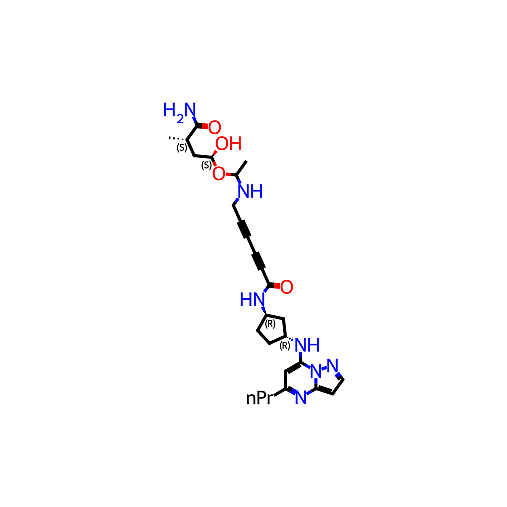 CCCc1cc(N[C@@H]2CC[C@@H](NC(=O)C#CC#CCNC(C)O[C@H](O)C[C@H](C)C(N)=O)C2)n2nccc2n1